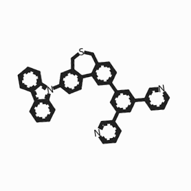 c1cncc(-c2cc(-c3cccnc3)cc(-c3ccc4c(c3)-c3ccc(-n5c6ccccc6c6ccccc65)cc3CSC4)c2)c1